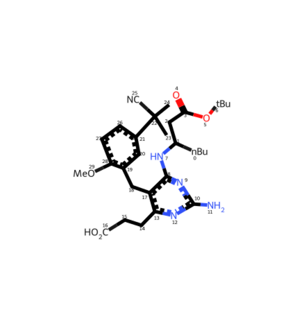 CCCCC(CC(=O)OC(C)(C)C)Nc1nc(N)nc(CCC(=O)O)c1Cc1cc(C(C)(C)C#N)ccc1OC